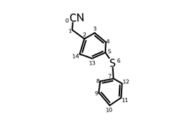 N#CCc1ccc(Sc2ccccc2)cc1